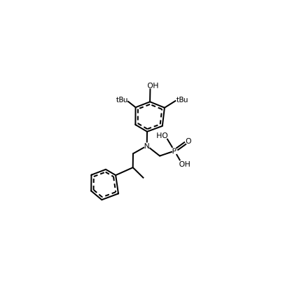 CC(CN(CP(=O)(O)O)c1cc(C(C)(C)C)c(O)c(C(C)(C)C)c1)c1ccccc1